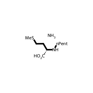 CCCCCN[C@@H](CCSC)C(=O)O.N